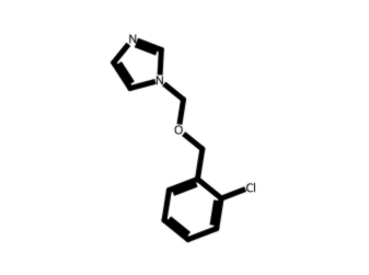 Clc1ccccc1COCn1ccnc1